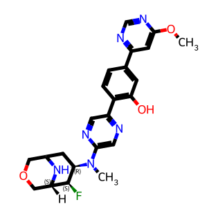 COc1cc(-c2ccc(-c3cnc(N(C)[C@@H]4CC5COC[C@H](N5)[C@@H]4F)cn3)c(O)c2)ncn1